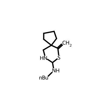 C=C1SC(NCCCC)NCC12CCCC2